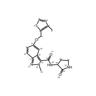 Cc1ncsc1COc1ccc2nn(C)c(C(=O)NC3CCNC3=O)c2c1